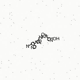 CC1CN(c2ccc(C#N)c3ncccc23)CC(CN2CC3(C2)CN(c2ccnc(CO)c2)CCO3)O1